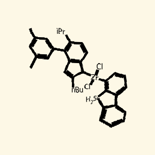 CCCCC1=Cc2c(ccc(C(C)C)c2-c2cc(C)cc(C)c2)[CH]1[Zr]([Cl])([Cl])[c]1cccc2c1[SiH2]c1ccccc1-2